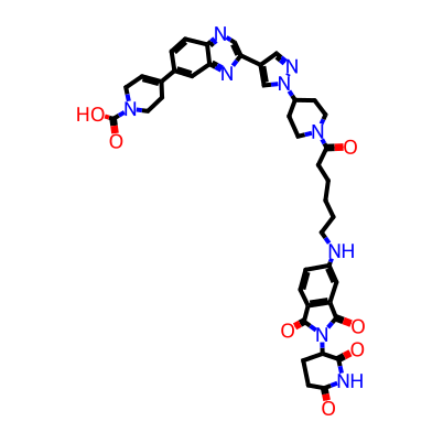 O=C1CCC(N2C(=O)c3ccc(NCCCCCC(=O)N4CCC(n5cc(-c6cnc7ccc(C8=CCN(C(=O)O)CC8)cc7n6)cn5)CC4)cc3C2=O)C(=O)N1